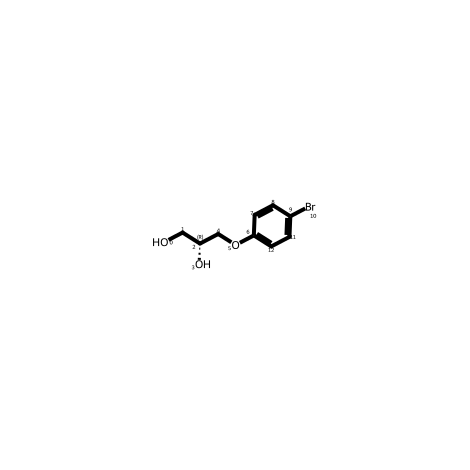 OC[C@@H](O)COc1ccc(Br)cc1